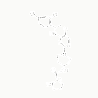 CC(Nc1nc(N2CCC(NC(=O)[C@H]3CCCN3)CC2)ncc1Cl)c1ccc(Cl)cc1Cl